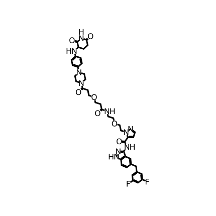 O=C(CCOCCC(=O)N1CCN(c2ccc(NC3CCC(=O)NC3=O)cc2)CC1)NCCOCCn1nccc1C(=O)Nc1n[nH]c2ccc(Cc3cc(F)cc(F)c3)cc12